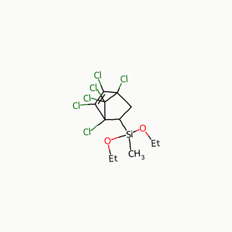 CCO[Si](C)(OCC)C1CC2(Cl)C(Cl)=C(Cl)C1(Cl)C2(Cl)Cl